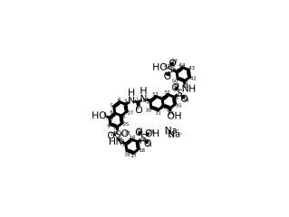 O=C(Nc1ccc2c(O)cc(S(=O)(=O)Nc3cccc(S(=O)(=O)O)c3)cc2c1)Nc1ccc2c(O)cc(S(=O)(=O)Nc3cccc(S(=O)(=O)O)c3)cc2c1.[Na].[Na]